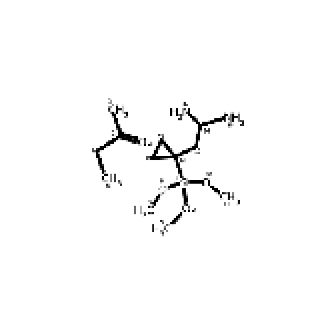 CCC(C)=O.CO[Si](OC)(OC)C1(CC(N)N)CC1